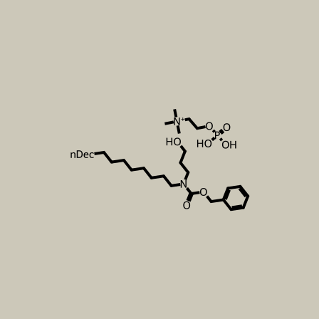 CCCCCCCCCCCCCCCCCCN(CCCO)C(=O)OCc1ccccc1.C[N+](C)(C)CCOP(=O)(O)O